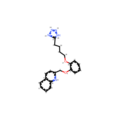 c1ccc(OCc2ccc3ccccc3n2)c(OCCCCc2nnn[nH]2)c1